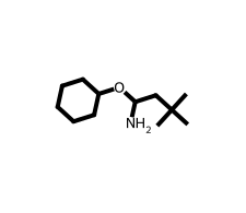 CC(C)(C)CC(N)OC1CCCCC1